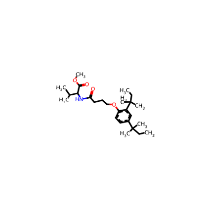 CCC(C)(C)c1ccc(OCCCC(=O)NC(C(=O)OC)C(C)C)c(C(C)(C)CC)c1